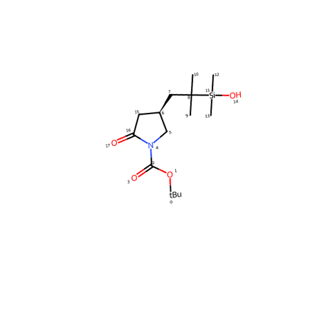 CC(C)(C)OC(=O)N1C[C@H](CC(C)(C)[Si](C)(C)O)CC1=O